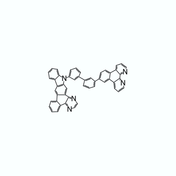 c1cc(-c2cccc(-n3c4ccccc4c4cc5c6ccccc6c6nccnc6c5cc43)c2)cc(-c2ccc3c(c2)c2cccnc2c2ncccc32)c1